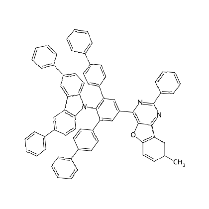 CC1C=Cc2oc3c(-c4cc(-c5ccc(-c6ccccc6)cc5)c(-n5c6ccc(-c7ccccc7)cc6c6cc(-c7ccccc7)ccc65)c(-c5ccc(-c6ccccc6)cc5)c4)nc(-c4ccccc4)nc3c2C1